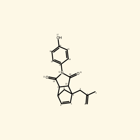 C=C(C)CC12C=CC(C1)C1C(=O)N(c3ccc(O)cc3)C(=O)C12